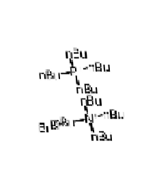 CCCC[N+](CCCC)(CCCC)CCCC.CCCC[P+](CCCC)(CCCC)CCCC.[Br-].[Br-]